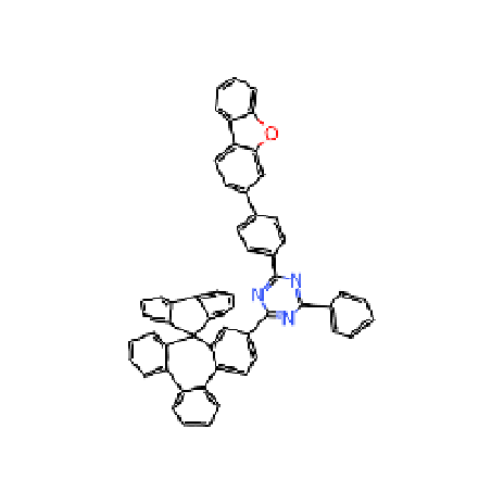 c1ccc(-c2nc(-c3ccc(-c4ccc5c(c4)oc4ccccc45)cc3)nc(-c3ccc4c(c3)C3(c5ccccc5-c5ccccc5-4)c4ccccc4-c4ccccc43)n2)cc1